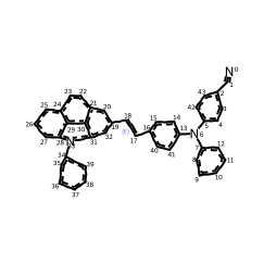 N#Cc1ccc(N(c2ccccc2)c2ccc(/C=C/c3cc4ccc5cccc6c5c4c(c3)n6-c3ccccc3)cc2)cc1